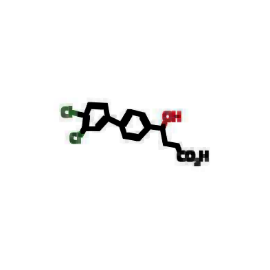 O=C(O)CCC(O)c1ccc(-c2ccc(Cl)c(Cl)c2)cc1